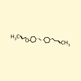 C/C=C/CC[C@H]1CC[C@H](CC[C@H]2CC[C@H](OC/C=C/C)CC2)CC1